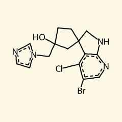 OC1(Cn2ccnc2)CCC2(CNc3ncc(Br)c(Cl)c32)C1